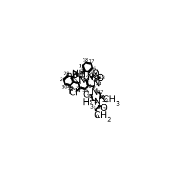 C=CC(=O)N1C[C@H](C)N(C2=NS(=O)(=O)N(c3ccccc3CCCC)c3nc(-c4c(N)cccc4F)c(Cl)cc32)C[C@H]1C